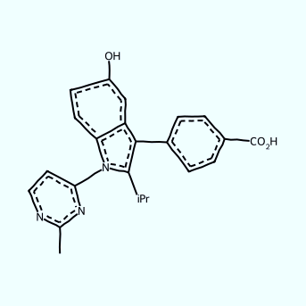 Cc1nccc(-n2c(C(C)C)c(-c3ccc(C(=O)O)cc3)c3cc(O)ccc32)n1